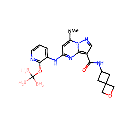 BC(B)(B)Oc1ncccc1Nc1cc(NC)n2ncc(C(=O)NC3CC4(COC4)C3)c2n1